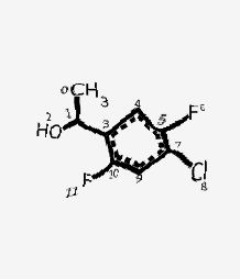 CC(O)c1cc(F)c(Cl)cc1F